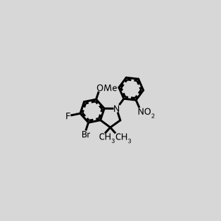 COc1cc(F)c(Br)c2c1N(c1ccccc1[N+](=O)[O-])CC2(C)C